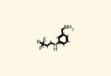 NCc1cccc(NCCC(F)(F)F)c1